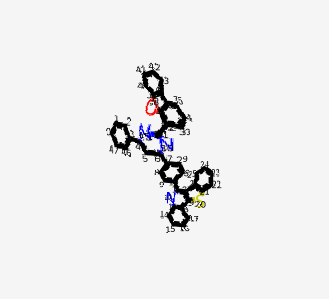 c1ccc(-c2cc(-c3ccc(-c4nc5ccccc5c5sc6ccccc6c45)cc3)nc(-c3cccc4c3oc3ccccc34)n2)cc1